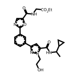 CCOC(=O)CNC(=O)c1cnc(-c2cccc(-c3cc(C(=O)NC(C)C4CC4)n(CCO)n3)c2)o1